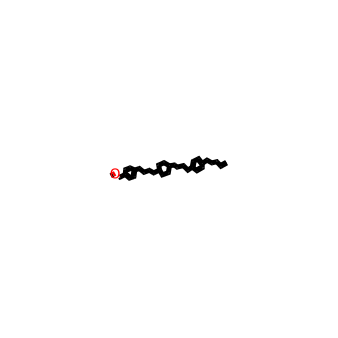 C=CCCCc1ccc(CCCCC2CCC(CCCCc3ccc(COC)cc3)CC2)cc1